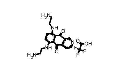 NCCNc1ccc(NCCN)c2c1C(=O)c1ccncc1C2=O.O=C(O)C(F)(F)F